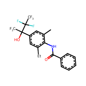 CCc1cc(C(O)(C(F)(F)F)C(F)(F)C(F)(F)F)cc(C)c1NC(=O)c1ccccc1